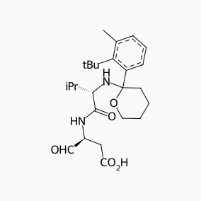 Cc1cccc(C2(N[C@H](C(=O)N[C@H](C=O)CC(=O)O)C(C)C)CCCCO2)c1C(C)(C)C